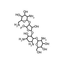 NCC1OC(OC2C(OF)OC(OC3C(O)C(N)CC(N)C3OC3OC(CO)C(O)C(O)C3N)C2O)C(N)C(O)C1O